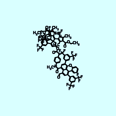 CCOC(=O)C1=C(C)/C(=C(/c2c(C)c(C(=O)OCC)c(C)n2BF)C2(c3cc(C(F)(F)F)cc(C(F)(F)F)c3)C=C(OC(=O)Cc3ccc(N(C)C(=O)c4cc(-c5cc(C(F)(F)F)cc(C(F)(F)F)c5)c5c6c(c(-c7cc(C(F)(F)F)cc(C(F)(F)F)c7)cc(C=O)c46)-c4ccccc4O5)cc3)C=C2c2cc(C(F)(F)F)cc(C(F)(F)F)c2)N=C1C